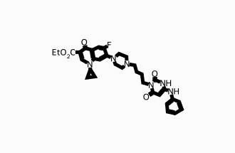 CCOC(=O)c1cn(C2CC2)c2cc(N3CCN(CCCCn4c(=O)cc(Nc5ccccc5)[nH]c4=O)CC3)c(F)cc2c1=O